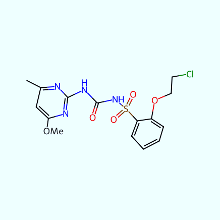 COc1cc(C)nc(NC(=O)NS(=O)(=O)c2ccccc2OCCCl)n1